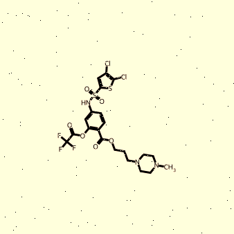 CN1CCN(CCCOC(=O)c2ccc(NS(=O)(=O)c3cc(Cl)c(Cl)s3)cc2OC(=O)C(F)(F)F)CC1